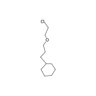 ClCCOCCCC1CCCCC1